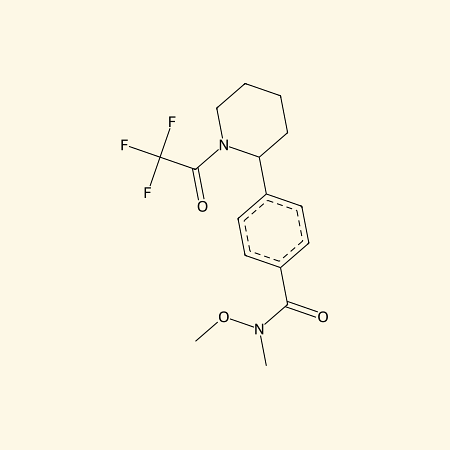 CON(C)C(=O)c1ccc(C2CCCCN2C(=O)C(F)(F)F)cc1